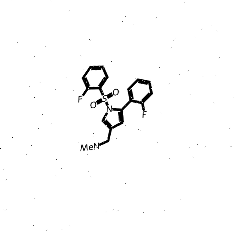 CNCc1cc(-c2ccccc2F)n(S(=O)(=O)c2ccccc2F)c1